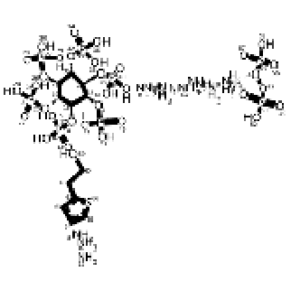 N.N.N.N.N.N.N.N.N.N.N.N.N.O=P(O)(O)O[C@H]1[C@H](OP(=O)(O)O)[C@@H](OP(=O)(O)O)[C@H](OP(=O)(O)O)[C@@H](OP(=O)(O)O)[C@H]1OP(=O)(O)O.O=S(=O)(O)OOS(=O)(=O)O.OCCc1cccs1